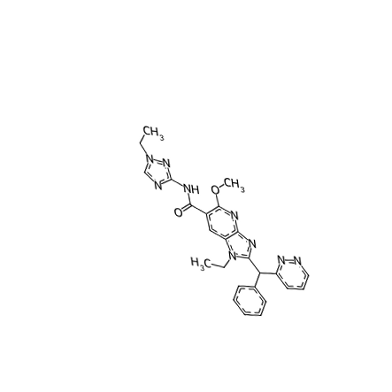 CCn1cnc(NC(=O)c2cc3c(nc2OC)nc(C(c2ccccc2)c2cccnn2)n3CC)n1